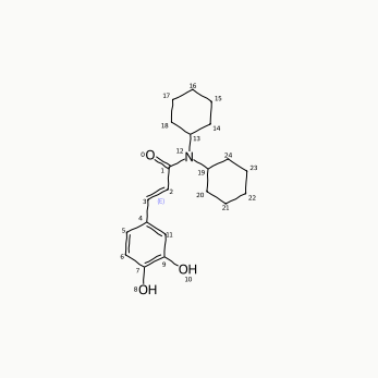 O=C(/C=C/c1ccc(O)c(O)c1)N(C1CCCCC1)C1CCCCC1